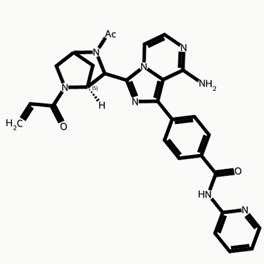 C=CC(=O)N1CC2C[C@H]1C(c1nc(-c3ccc(C(=O)Nc4ccccn4)cc3)c3c(N)nccn13)N2C(C)=O